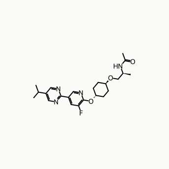 CC(=O)N[C@@H](C)CO[C@H]1CC[C@H](Oc2ncc(-c3ncc(C(C)C)cn3)cc2F)CC1